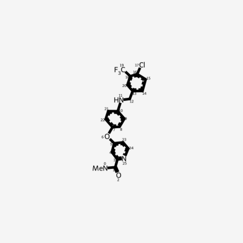 CNC(=O)c1cc(Oc2ccc(NCc3ccc(Cl)c(C(F)(F)F)c3)cc2)ccn1